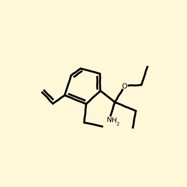 C=Cc1cccc(C(N)(CC)OCC)c1CC